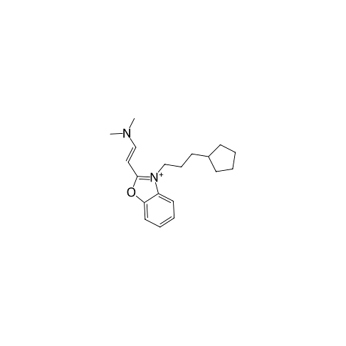 CN(C)/C=C/c1oc2ccccc2[n+]1CCCC1CCCC1